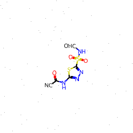 N#CC(=O)Nc1nnc(S(=O)(=O)NC=O)s1